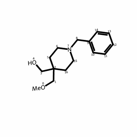 COCC1(CO)CCN(Cc2ccccc2)CC1